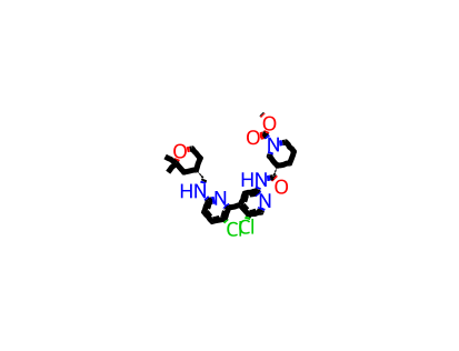 COC(=O)N1CCC[C@H](C(=O)Nc2cc(-c3nc(NC[C@H]4CCOC(C)(C)C4)ccc3Cl)c(Cl)cn2)C1